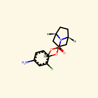 CC(C)(C)OC(=O)N1[C@@H]2CC[C@H]1C[C@H](Oc1ccc(N)cc1F)C2